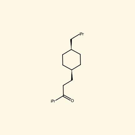 CC(C)C[C@H]1CC[C@@H](CCC(=O)C(C)C)CC1